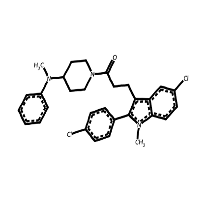 CN(c1ccccc1)C1CCN(C(=O)CCc2c(-c3ccc(Cl)cc3)n(C)c3ccc(Cl)cc23)CC1